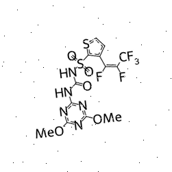 COc1nc(NC(=O)NS(=O)(=O)c2sccc2/C(F)=C(/F)C(F)(F)F)nc(OC)n1